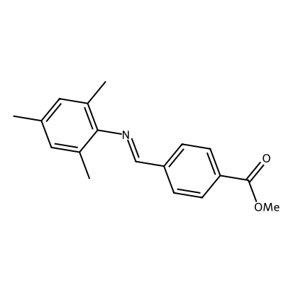 COC(=O)c1ccc(C=Nc2c(C)cc(C)cc2C)cc1